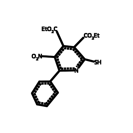 CCOC(=O)c1c(S)nc(-c2ccccc2)c([N+](=O)[O-])c1C(=O)OCC